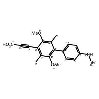 COc1c(C)c(-c2ccc(NC(C)C)cc2)c(OC)c(C)c1C#CC(=O)O